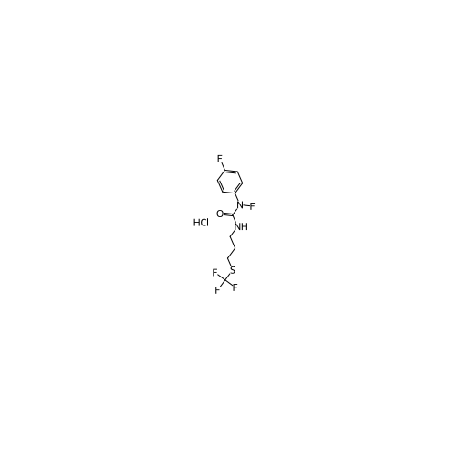 Cl.O=C(NCCCSC(F)(F)F)N(F)c1ccc(F)cc1